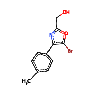 Cc1ccc(-c2nc(CO)oc2Br)cc1